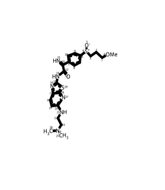 COCCC[S+]([O-])c1ccc(C(=N)C(=O)Nc2nc3ccc(NCCN(C)C)nc3s2)cc1